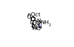 CCCCCCCCOc1ccc(C2N=C(N)/C(=N/O)N2C2=NC=CC2=O)cc1